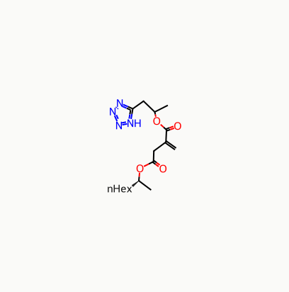 C=C(CC(=O)O[C@@H](C)CCCCCC)C(=O)OC(C)Cc1nnn[nH]1